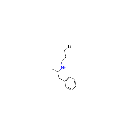 [Li][CH2]CCNC(C)Cc1ccccc1